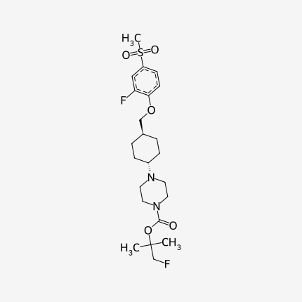 CC(C)(CF)OC(=O)N1CCN([C@H]2CC[C@H](COc3ccc(S(C)(=O)=O)cc3F)CC2)CC1